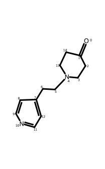 O=C1CCN(CCc2ccncc2)CC1